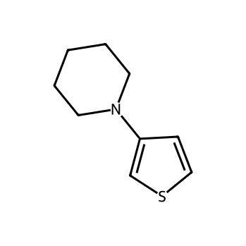 c1cc(N2CCCCC2)cs1